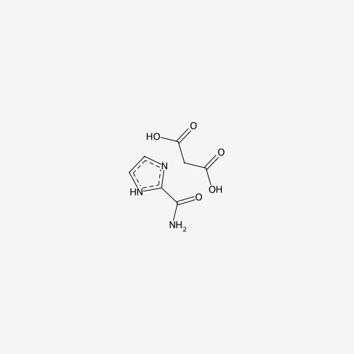 NC(=O)c1ncc[nH]1.O=C(O)CC(=O)O